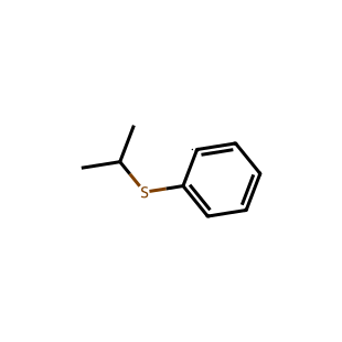 CC(C)Sc1[c]cccc1